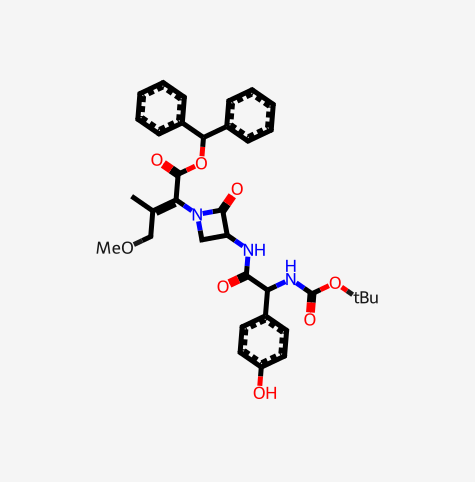 COC/C(C)=C(/C(=O)OC(c1ccccc1)c1ccccc1)N1CC(NC(=O)C(NC(=O)OC(C)(C)C)c2ccc(O)cc2)C1=O